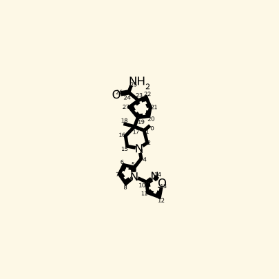 CC1CN(Cc2cccn2-c2ccon2)CCC1(C)c1cccc(C(N)=O)c1